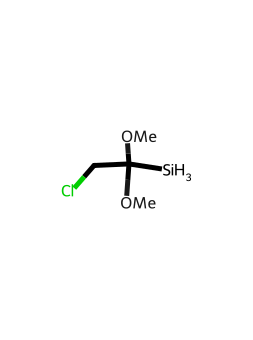 COC([SiH3])(CCl)OC